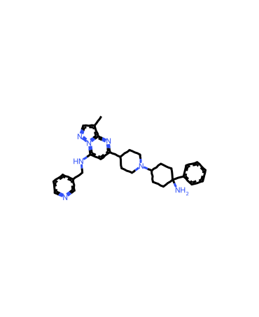 Cc1cnn2c(NCc3cccnc3)cc(C3CCN(C4CCC(N)(c5ccccc5)CC4)CC3)nc12